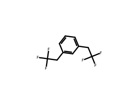 FC(F)(F)Cc1c[c]cc(CC(F)(F)F)c1